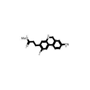 COC(=O)CCc1cc2c(cc1F)-c1ccc(C#N)cc1CO2